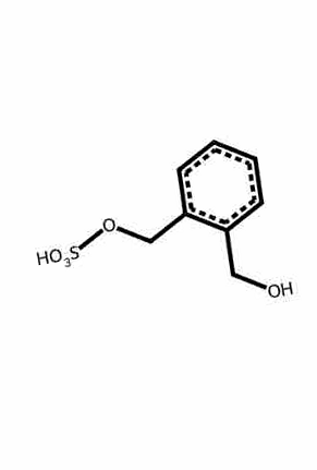 O=S(=O)(O)OCc1ccccc1CO